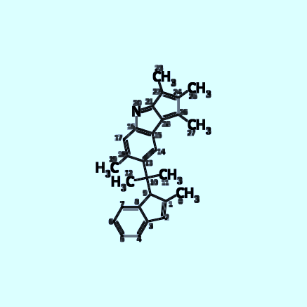 CC1=Cc2ccccc2C1C(C)(C)c1cc2c(cc1C)N=C1C(C)=C(C)C(C)=C12